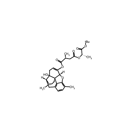 Cc1ccc2c3c1O[C@H]1C(OC(=O)[C@@H](C)CC(=O)O[C@@H](C)C(=O)OC(C)(C)C)=CC[C@@]4(O)[C@@H](C2)N(C)CC[C@]314